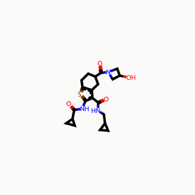 O=C(NCC1CC1)c1c(NC(=O)C2CC2)sc2c1CC(C(=O)N1CC(O)C1)CC2